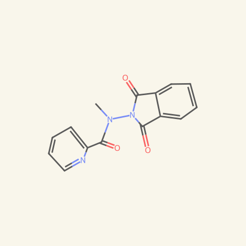 CN(C(=O)c1ccccn1)N1C(=O)c2ccccc2C1=O